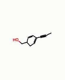 CC#CC1=CCC(CO)C=C1